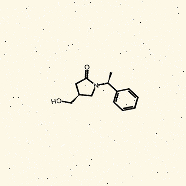 C[C@@H](c1ccccc1)N1C[C@@H](CO)CC1=O